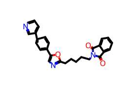 O=C1c2ccccc2C(=O)N1CCCCCc1ncc(-c2ccc(-c3cccnc3)cc2)o1